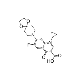 O=C(O)c1cn(C2CC2)c2cc(N3CCC4(CC3)OCCO4)c(F)cc2c1=O